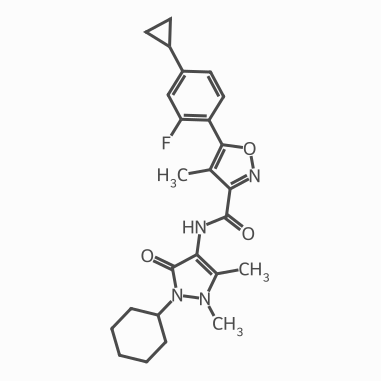 Cc1c(C(=O)Nc2c(C)n(C)n(C3CCCCC3)c2=O)noc1-c1ccc(C2CC2)cc1F